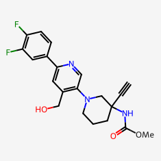 C#CC1(NC(=O)OC)CCCN(c2cnc(-c3ccc(F)c(F)c3)cc2CO)C1